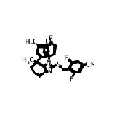 Cc1cc(C2(C)CCCc3nc(SCc4c(F)cc(C#N)cc4F)n(-c4ccc(F)cc4)c32)ccc1Cl